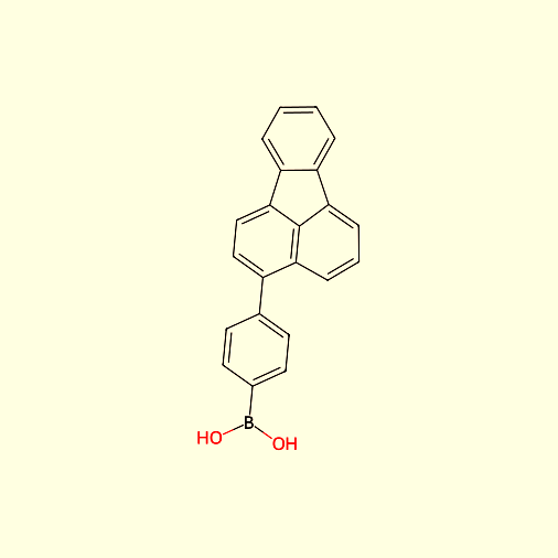 OB(O)c1ccc(-c2ccc3c4c(cccc24)-c2ccccc2-3)cc1